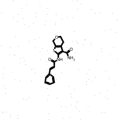 NC(=O)c1c(NC(=O)C=Cc2ccccc2)sc2c1CCOC2